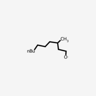 CCCCCCCC(C)CC[O]